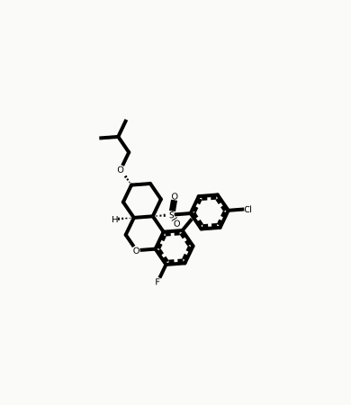 CC(C)CO[C@@H]1CC[C@@]2(S(=O)(=O)c3ccc(Cl)cc3)c3c(F)ccc(F)c3OC[C@H]2C1